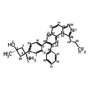 C[C@]1(O)C[C@](N)(c2ccc(-c3nc4ccc5nnc(CCC(F)(F)F)n5c4nc3-c3ccccc3)cc2)C1